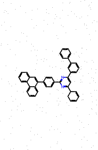 C1=CCC(c2cc(-c3cccc(-c4ccccc4)c3)nc(-c3ccc(-c4cc5ccccc5c5ccccc45)cc3)n2)C=C1